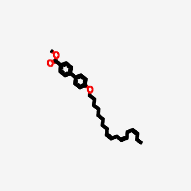 CC/C=C\C/C=C\C/C=C\CCCCCCCCOc1ccc(-c2ccc(C(=O)OC)cc2)cc1